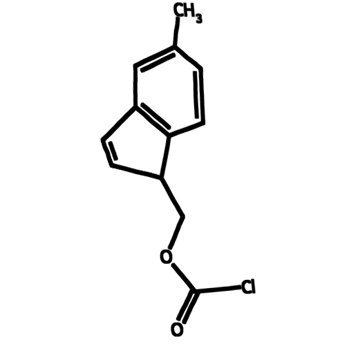 Cc1ccc2c(c1)C=CC2COC(=O)Cl